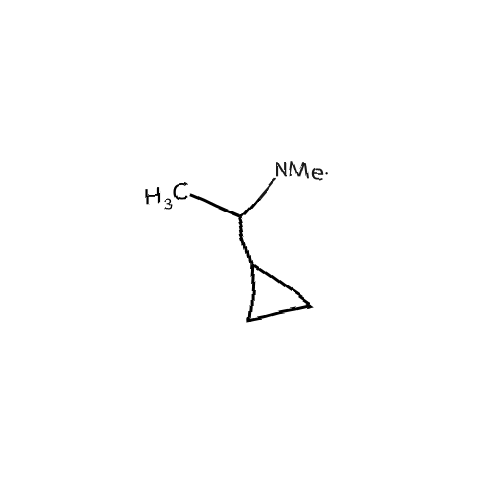 C[N]C(C)C1CC1